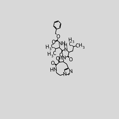 CC(C)CC(NC(=O)C(NC(=O)OCc1ccccc1)C(C)C)C(=O)NC1Cc2cn(cn2)CCNC(=O)C1=O